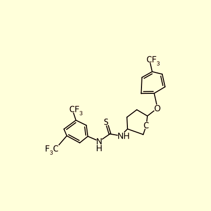 FC(F)(F)c1ccc(OC2CCC(NC(=S)Nc3cc(C(F)(F)F)cc(C(F)(F)F)c3)CC2)cc1